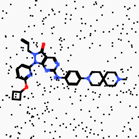 C=CCn1c(=O)c2cnc(Nc3ccc(N4CCC5(CCN(C)CC5)CC4)cc3)nc2n1-c1cccc(OC2CCC2)n1